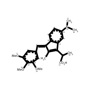 COc1cc(/C=C2\C(C)=C(C(C)C(=O)O)c3cc(N(C)C)ccc32)cc(OC)c1OC